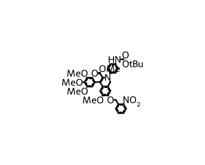 COC(=O)C1=C(c2cc(OC)c(OC)c(OC)c2)c2cc(OC)c(OCc3ccccc3[N+](=O)[O-])cc2CN1c1ccc(NC(=O)OC(C)(C)C)cc1